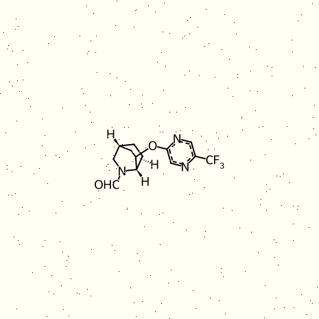 O=CN1C[C@@H]2CC[C@H]1[C@H](Oc1cnc(C(F)(F)F)cn1)C2